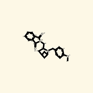 COc1ccc(CN2C3CC(C3)CC2CN2C(=O)c3ccccc3C2=O)cc1